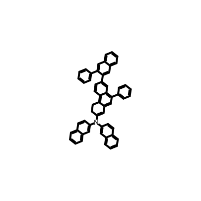 C1=C(N(c2ccc3ccccc3c2)c2ccc3ccccc3c2)CCc2c1cc(-c1ccccc1)c1cc(-c3cc4ccccc4cc3-c3ccccc3)ccc21